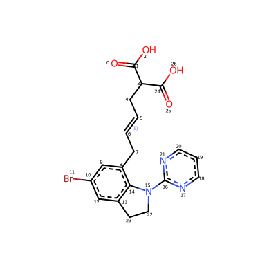 O=C(O)C(C/C=C/Cc1cc(Br)cc2c1N(c1ncccn1)CC2)C(=O)O